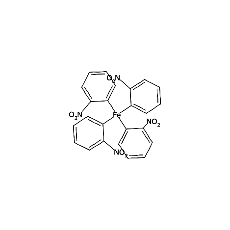 O=[N+]([O-])c1cccc[c]1[Fe]([c]1ccccc1[N+](=O)[O-])([c]1ccccc1[N+](=O)[O-])[c]1ccccc1[N+](=O)[O-]